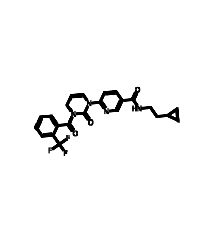 O=C(NCCC1CC1)c1ccc(N2C=CCN(C(=O)c3ccccc3C(F)(F)F)C2=O)nc1